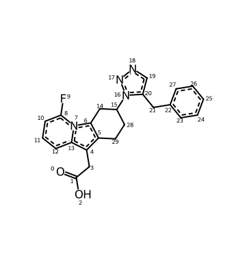 O=C(O)Cc1c2c(n3c(F)cccc13)CC(n1nncc1Cc1ccccc1)CC2